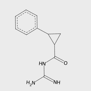 N=C(N)NC(=O)C1CC1c1ccccc1